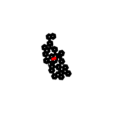 c1ccc(-n2c3ccccc3c3c(-c4cccc(N(c5ccc(-c6cccc7ccccc67)cc5)c5cc6ccccc6c6ccccc56)c4)c4ccc(-c5ccccc5-n5c6ccccc6c6c(-c7cccc(N(c8cc9ccccc9c9ccccc89)c8cc9ccccc9c9ccccc89)c7)c7ccccc7cc65)cc4cc32)cc1